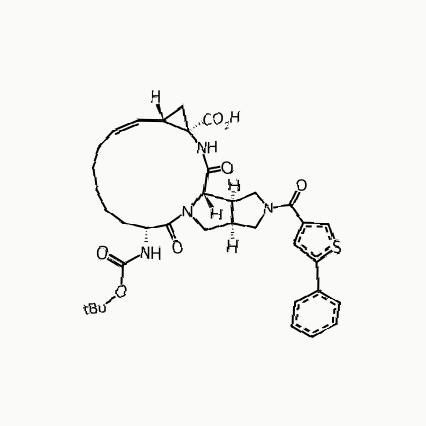 CC(C)(C)OC(=O)N[C@@H]1CCCCC/C=C\[C@@H]2C[C@@]2(C(=O)O)NC(=O)[C@@H]2[C@H]3CN(C(=O)c4csc(-c5ccccc5)c4)C[C@H]3CN2C1=O